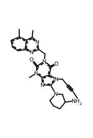 CC#CCn1c(N2CCCC(N)C2)nc2c1c(=O)n(Cc1nc(C)c3c(C)cccc3n1)c(=O)n2C